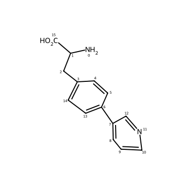 NC(Cc1ccc(-c2cccnc2)cc1)C(=O)O